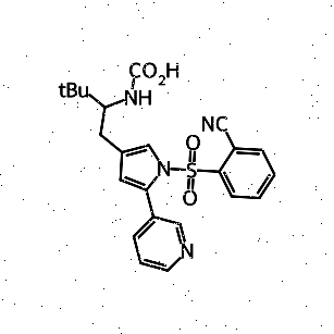 CC(C)(C)C(Cc1cc(-c2cccnc2)n(S(=O)(=O)c2ccccc2C#N)c1)NC(=O)O